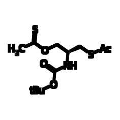 CC(=O)SC[C@H](COC(C)=S)NC(=O)OC(C)(C)C